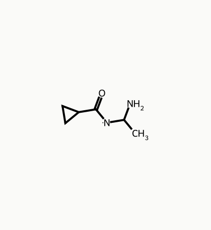 CC(N)[N]C(=O)C1CC1